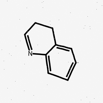 [c]1ccc2c(c1)CCC=N2